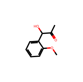 COc1ccccc1C(O)C(C)=O